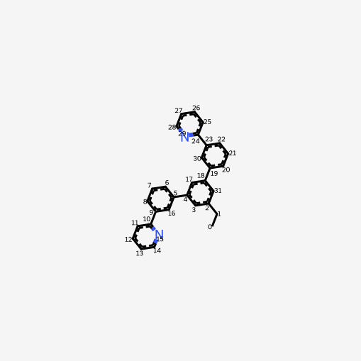 CCc1cc(-c2cccc(-c3ccccn3)c2)cc(-c2cccc(-c3ccccn3)c2)c1